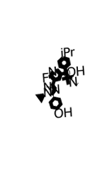 CC(C)c1ccc([C@](O)(c2cnc(F)c(-c3nc([C@H]4CC[C@H](O)CC4)n(C4CC4)n3)c2)C2(C)CN(C)C2)cc1